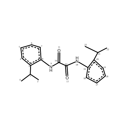 CC(C)c1ccccc1NC(=O)C(=O)Nc1ccccc1C(C)C